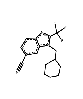 N#Cc1ccc2nc(C(F)(F)F)n(CC3CCCCC3)c2c1